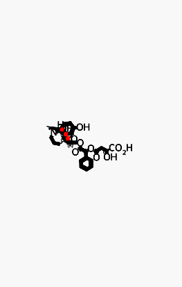 CN1CCC[C@]23c4c5ccc(O)c4O[C@H]2C(OC(=O)[C@@H](OC(=O)C[C@H](O)C(=O)O)c2ccccc2)=CC[C@@]3(O)[C@H]1C5